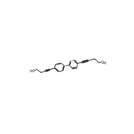 OCCC#Cc1ccc(-c2ccc(C#CCCO)cc2)cc1